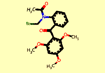 COc1cc(OC)c(C(=O)c2ccccc2N(CBr)C(C)=O)c(OC)c1